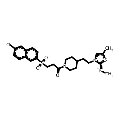 C/N=c1\sc(C)cn1CCC1CCN(C(=O)CCS(=O)(=O)c2ccc3cc(Cl)ccc3c2)CC1